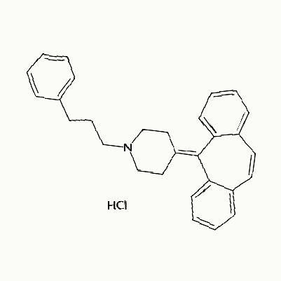 C1=Cc2ccccc2C(=C2CCN(CCCc3ccccc3)CC2)c2ccccc21.Cl